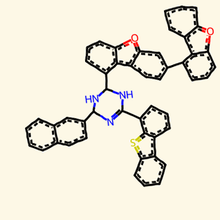 c1ccc2cc(C3N=C(c4cccc5c4sc4ccccc45)NC(c4cccc5oc6cc(-c7cccc8oc9ccccc9c78)ccc6c45)N3)ccc2c1